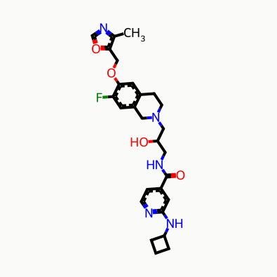 Cc1ncoc1COc1cc2c(cc1F)CN(CC(O)CNC(=O)c1ccnc(NC3CCC3)c1)CC2